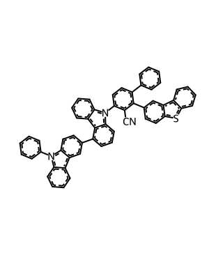 N#Cc1c(-n2c3ccccc3c3c(-c4ccc5c(c4)c4ccccc4n5-c4ccccc4)cccc32)ccc(-c2ccccc2)c1-c1ccc2sc3ccccc3c2c1